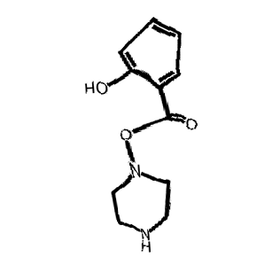 O=C(ON1CCNCC1)c1ccccc1O